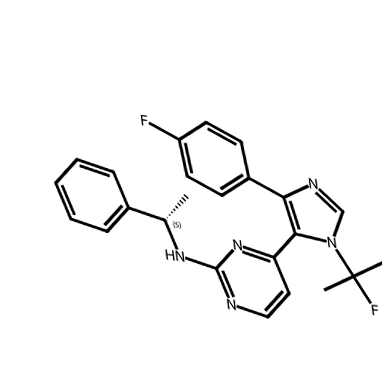 C[C@H](Nc1nccc(-c2c(-c3ccc(F)cc3)ncn2C(C)(C)F)n1)c1ccccc1